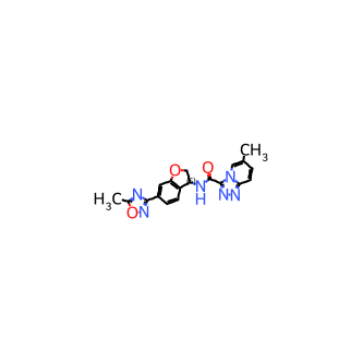 Cc1ccc2nnc(C(=O)N[C@@H]3COc4cc(-c5noc(C)n5)ccc43)n2c1